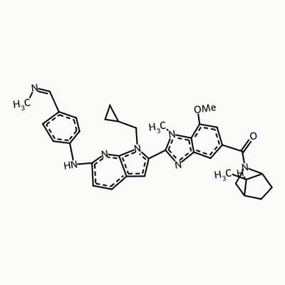 C/N=C\c1ccc(Nc2ccc3cc(-c4nc5cc(C(=O)N6CC7CCC6[C@@H]7C)cc(OC)c5n4C)n(CC4CC4)c3n2)cc1